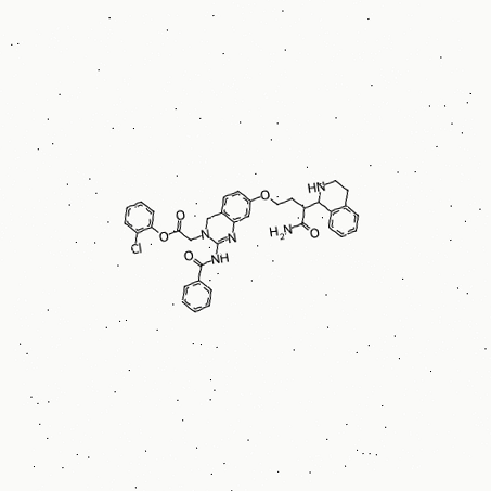 NC(=O)C(CCOc1ccc2c(c1)N=C(NC(=O)c1ccccc1)N(CC(=O)Oc1ccccc1Cl)C2)C1NCCc2ccccc21